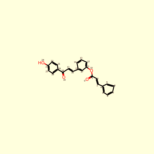 O=C(/C=C/c1ccccc1)Oc1cccc(/C=C/C(=O)c2ccc(O)cc2)c1